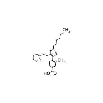 CCCCCCCc1ccc(-c2ccc(C(=O)O)cc2C)c(CCc2ccccn2)c1